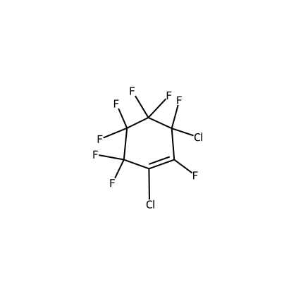 FC1=C(Cl)C(F)(F)C(F)(F)C(F)(F)C1(F)Cl